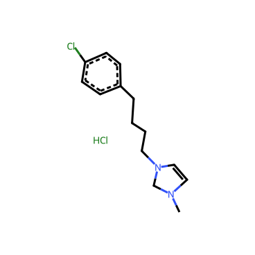 CN1C=CN(CCCCc2ccc(Cl)cc2)C1.Cl